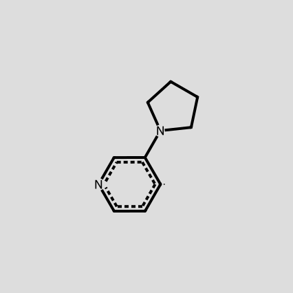 [c]1ccncc1N1CCCC1